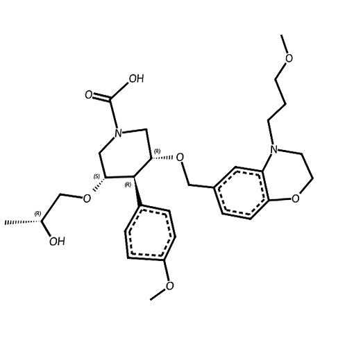 COCCCN1CCOc2ccc(CO[C@H]3CN(C(=O)O)C[C@@H](OC[C@@H](C)O)[C@@H]3c3ccc(OC)cc3)cc21